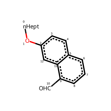 CCCCCCCOc1ccc2cccc(C=O)c2c1